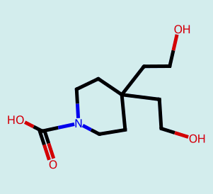 O=C(O)N1CCC(CCO)(CCO)CC1